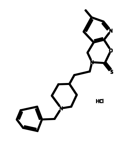 Cc1cnc2c(c1)CN(CCC1CCN(Cc3ccccc3)CC1)C(=S)O2.Cl